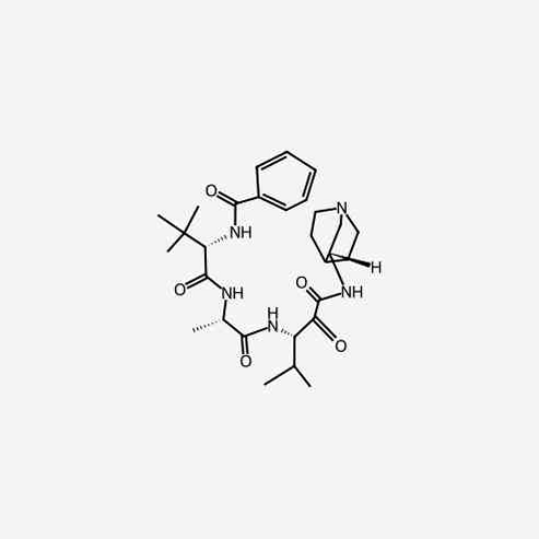 CC(C)[C@H](NC(=O)[C@H](C)NC(=O)[C@@H](NC(=O)c1ccccc1)C(C)(C)C)C(=O)C(=O)N[C@H]1CN2CCC1CC2